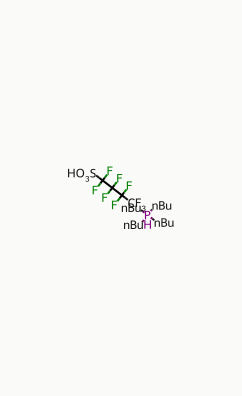 CCCC[PH](CCCC)(CCCC)CCCC.O=S(=O)(O)C(F)(F)C(F)(F)C(F)(F)C(F)(F)F